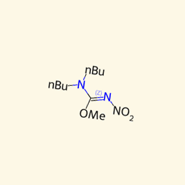 CCCCN(CCCC)/C(=N/[N+](=O)[O-])OC